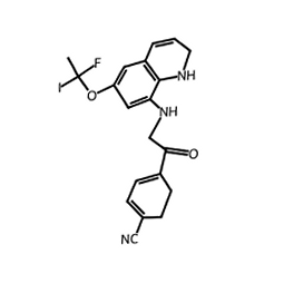 CC(F)(I)Oc1cc2c(c(NCC(=O)C3=CC=C(C#N)CC3)c1)NCC=C2